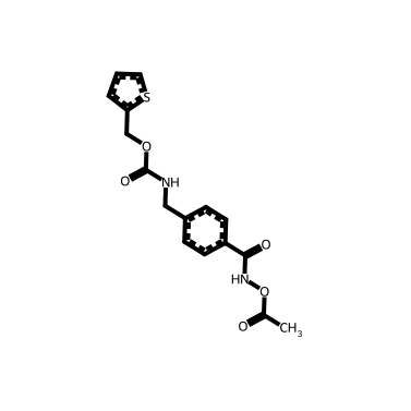 CC(=O)ONC(=O)c1ccc(CNC(=O)OCc2cccs2)cc1